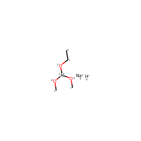 CC[O][Al]([O]C)[O]C.[H-].[Na+]